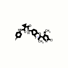 C=Nc1cc(Cl)ncc1/C(=C\C)Oc1ccc(NC(=O)C2(C(=O)Nc3ccc(F)cc3)CC2)cc1F